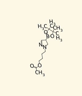 CC(=O)OCCCCN1CC(B2OC(C)(C)C(C)(C)O2)C=N1